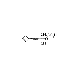 CC(C)(C#CC1C=CC1)OS(=O)(=O)O